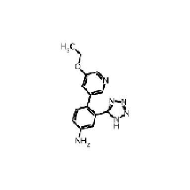 CCOc1cncc(-c2ccc(N)cc2-c2nnn[nH]2)c1